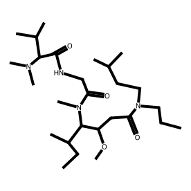 CCCN(CCC(C)C)C(=O)CC(OC)C(C(C)CC)N(C)C(=O)CNC(=O)C(C(C)C)N(C)C